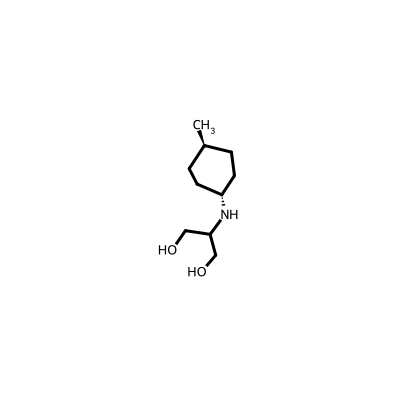 C[C@H]1CC[C@H](NC(CO)CO)CC1